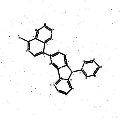 Brc1ccc(-c2ccc3c(c2)c2ncccc2n3-c2ccccc2)c2ccccc12